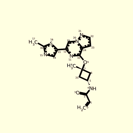 C=CC(=O)N[C@H]1C[C@@](C)(Oc2nc(-c3cnc(C)s3)cn3nccc23)C1